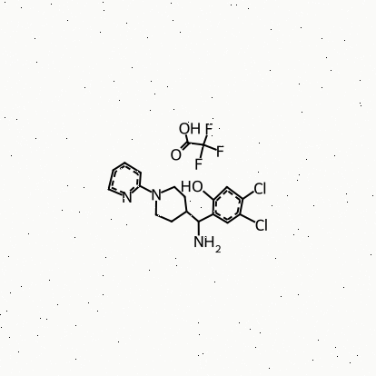 NC(c1cc(Cl)c(Cl)cc1O)C1CCN(c2ccccn2)CC1.O=C(O)C(F)(F)F